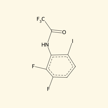 O=C(Nc1c(I)ccc(F)c1F)C(F)(F)F